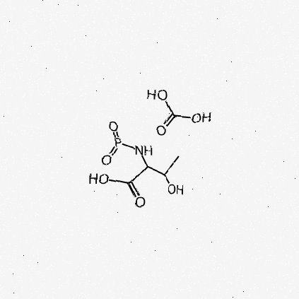 CC(O)C(NP(=O)=O)C(=O)O.O=C(O)O